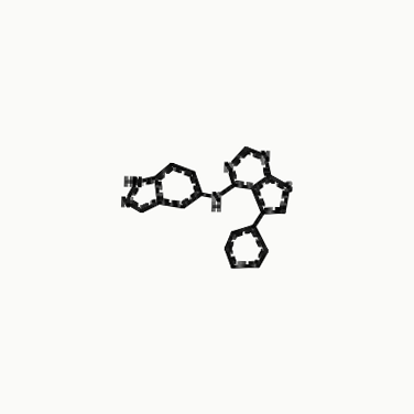 c1ccc(-c2csc3ncnc(Nc4ccc5[nH]ncc5c4)c23)cc1